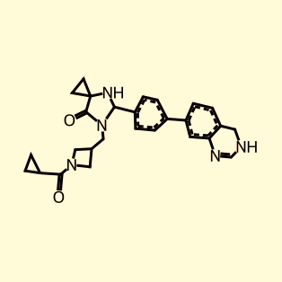 O=C(C1CC1)N1CC(CN2C(=O)C3(CC3)NC2c2ccc(-c3ccc4c(c3)N=CNC4)cc2)C1